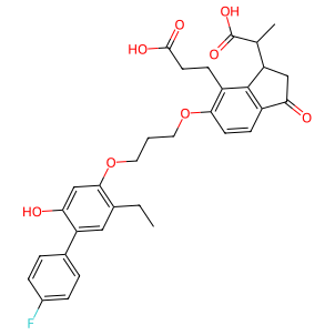 CCc1cc(-c2ccc(F)cc2)c(O)cc1OCCCOc1ccc2c(c1CCC(=O)O)C(C(C)C(=O)O)CC2=O